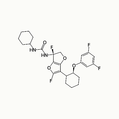 O=C(NC1CCCCC1)N[C@]1(F)COc2c1oc(F)c2C1CCCC[C@@H]1Oc1cc(F)cc(F)c1